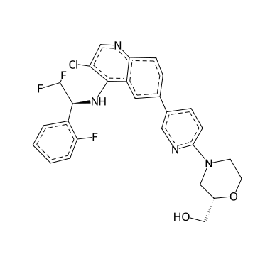 OC[C@@H]1CN(c2ccc(-c3ccc4ncc(Cl)c(N[C@@H](c5ccccc5F)C(F)F)c4c3)cn2)CCO1